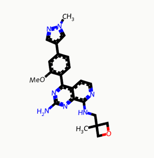 COc1cc(-c2cnn(C)c2)ccc1-c1nc(N)nc2c(NCC3(C)COC3)nccc12